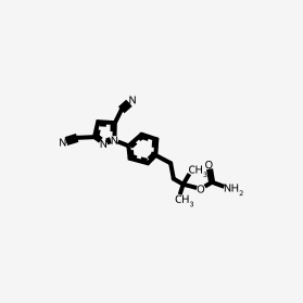 CC(C)(CCc1ccc(-n2nc(C#N)cc2C#N)cc1)OC(N)=O